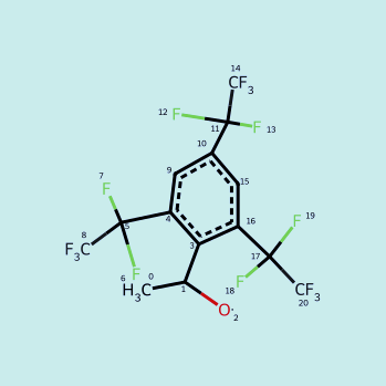 CC([O])c1c(C(F)(F)C(F)(F)F)cc(C(F)(F)C(F)(F)F)cc1C(F)(F)C(F)(F)F